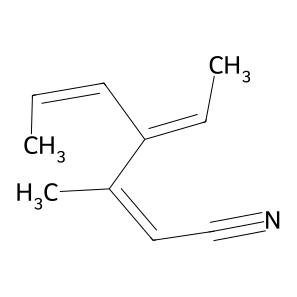 C\C=C/C(=C\C)C(/C)=C\C#N